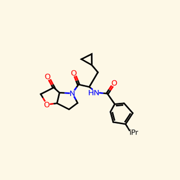 CC(C)c1ccc(C(=O)NC(CC2CC2)C(=O)N2CCC3OCC(=O)C32)cc1